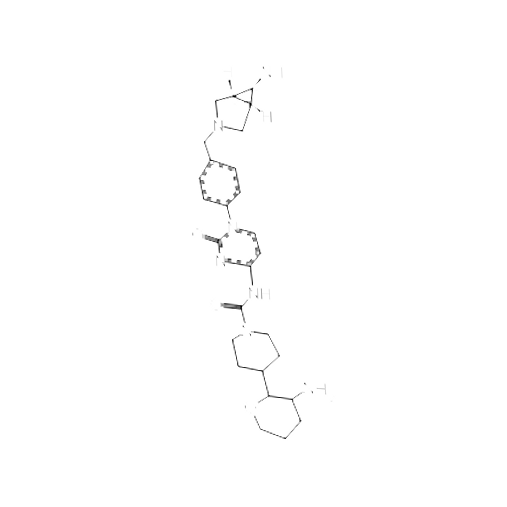 NC1CCCOC1C1CCN(C(=O)Nc2ccn(-c3ccc(CN4C[C@@H]5[C@@H](N)[C@@H]5C4)cc3)c(=O)n2)CC1